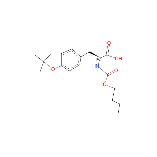 CCCCOC(=O)N[C@@H](Cc1ccc(OC(C)(C)C)cc1)C(=O)O